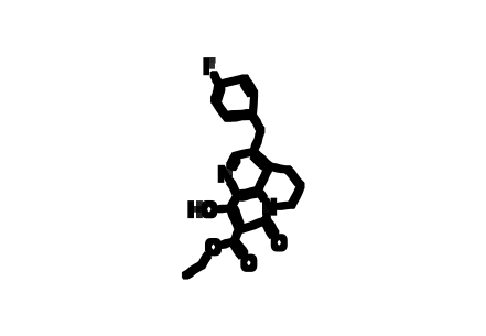 CCOC(=O)c1c(O)c2ncc(Cc3ccc(F)cc3)c3c2n(c1=O)CCC3